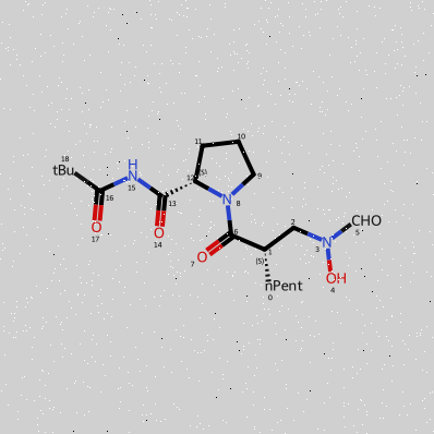 CCCCC[C@@H](CN(O)C=O)C(=O)N1CCC[C@H]1C(=O)NC(=O)C(C)(C)C